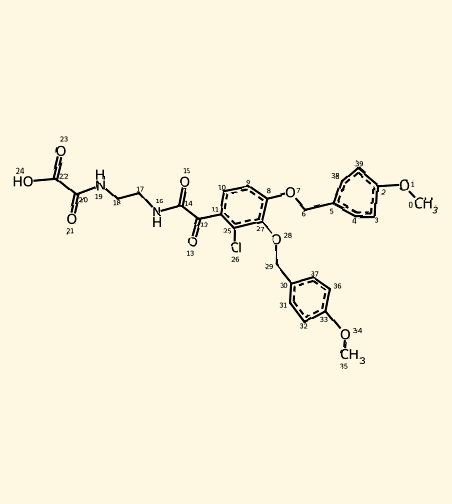 COc1ccc(COc2ccc(C(=O)C(=O)NCCNC(=O)C(=O)O)c(Cl)c2OCc2ccc(OC)cc2)cc1